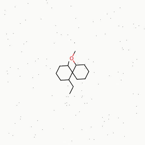 CCC1CCCC(C)C12CCCCC2OC